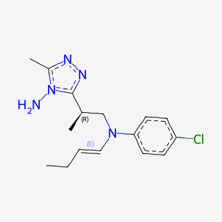 CC/C=C/N(C[C@@H](C)c1nnc(C)n1N)c1ccc(Cl)cc1